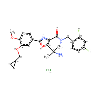 COc1ccc(-c2nc(C(=O)NCc3ccc(F)cc3F)c(C(C)(C)N)o2)cc1OCC1CC1.Cl